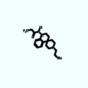 CCN(C(=O)CC(F)(F)F)[C@H]1CCC2(CCN(CCC(C)(C)C)CC2)c2ccccc21